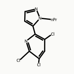 CCCn1nccc1-c1nc(Cl)c(Cl)cc1Cl